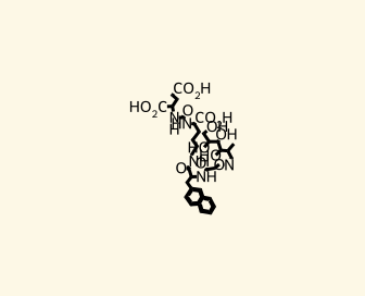 CC(/C=N\OCC(=O)NC(Cc1ccc2ccccc2c1)C(=O)NCCCCC(NC(=O)NC(CCC(=O)O)C(=O)O)C(=O)O)C(O)C(O)C(O)CO